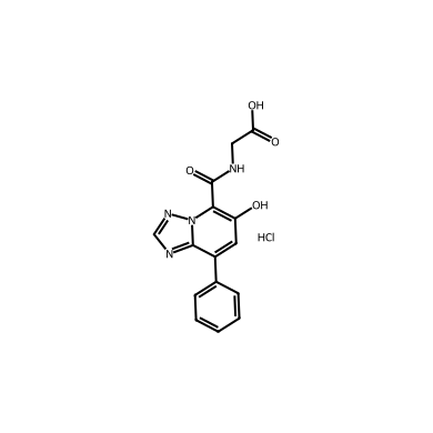 Cl.O=C(O)CNC(=O)c1c(O)cc(-c2ccccc2)c2ncnn12